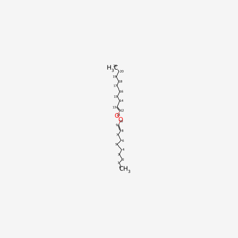 CCCCCCCCC=COOC=CCCCCCCCC